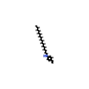 C=Cc1ccc(NCCCCCCCCCCCCCCCCCC)cc1